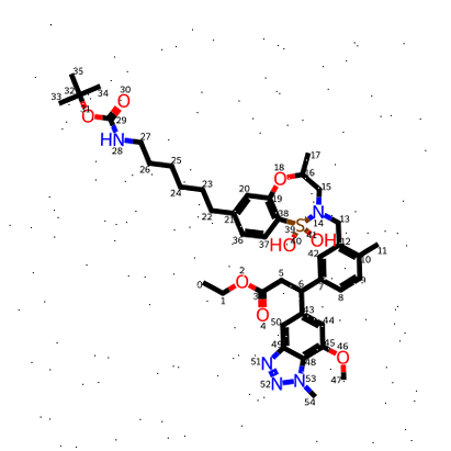 CCOC(=O)CC(c1ccc(C)c(CN2CC(C)Oc3cc(CCCCCCNC(=O)OC(C)(C)C)ccc3S2(O)O)c1)c1cc(OC)c2c(c1)nnn2C